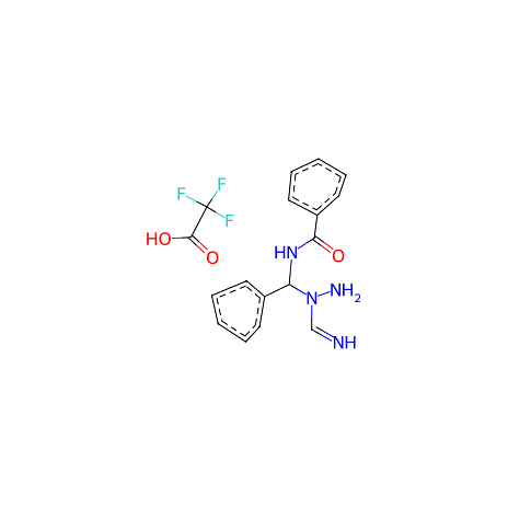 N=CN(N)C(NC(=O)c1ccccc1)c1ccccc1.O=C(O)C(F)(F)F